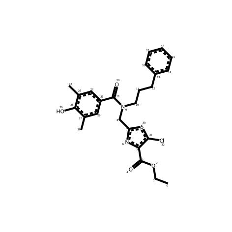 CCOC(=O)c1nc(CN(CCCc2ccccc2)C(=O)c2cc(C)c(O)c(C)c2)sc1Cl